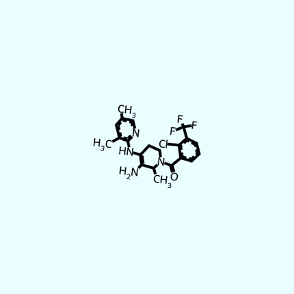 Cc1cnc(NC2=C(N)C(C)N(C(=O)c3cccc(C(F)(F)F)c3Cl)CC2)c(C)c1